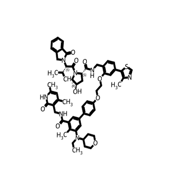 CCN(c1cc(-c2ccc(OCCOc3cc(-c4scnc4C)ccc3CNC(=O)[C@@H]3C[C@@H](O)CN3C(=O)[C@H](C(C)C)N3Cc4ccccc4C3=O)cc2)cc(C(=O)NCc2c(C)cc(C)[nH]c2=O)c1C)C1CCOCC1